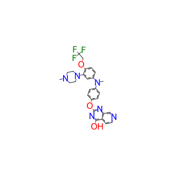 CN1CCN(c2cc(N(C)c3ccc(Oc4nc(O)c5ccncc5n4)cc3)ccc2OCC(F)(F)F)CC1